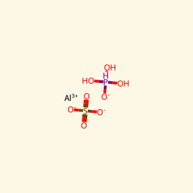 O=S(=O)([O-])[O-].[Al+3].[O-][PH](O)(O)O